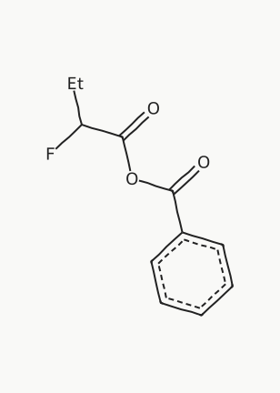 CCC(F)C(=O)OC(=O)c1ccccc1